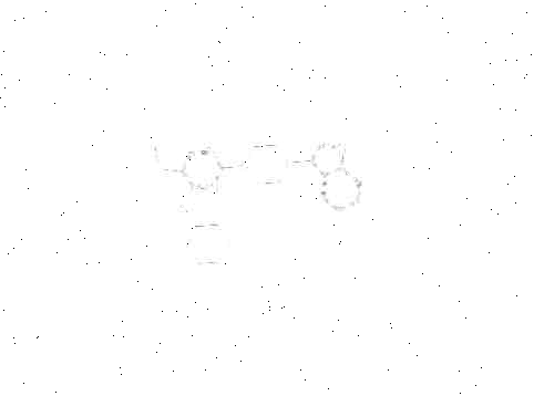 Cn1cc(C2CCN(c3nc4c(c(NC5CCOCC5)n3)SCC4)CC2)c2ccccc21